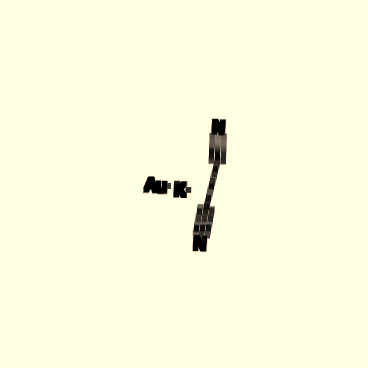 N#CC#N.[Au].[K]